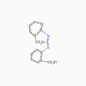 CCOC(=O)c1ccccc1N=C=Nc1ccccc1C(=O)OCC